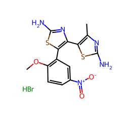 Br.COc1ccc([N+](=O)[O-])cc1-c1sc(N)nc1-c1sc(N)nc1C